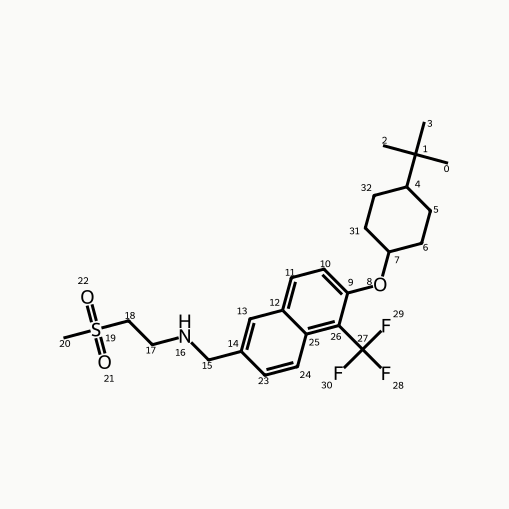 CC(C)(C)C1CCC(Oc2ccc3cc(CNCCS(C)(=O)=O)ccc3c2C(F)(F)F)CC1